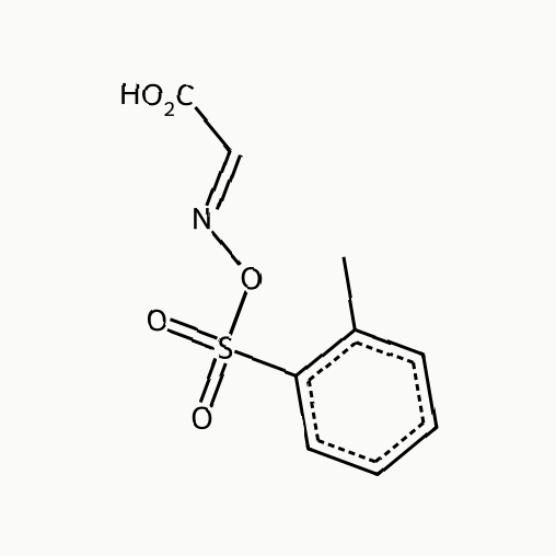 Cc1ccccc1S(=O)(=O)ON=CC(=O)O